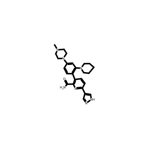 CN1CCN(c2ccc(-c3ccc(-c4cn[nH]c4)nc3C(N)=O)c(N3CCCCC3)c2)CC1